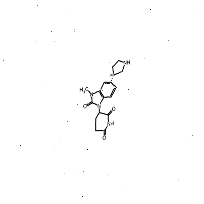 Cn1c(=O)n(C2CCC(=O)NC2=O)c2ccc([C@@H]3CCNC3)cc21